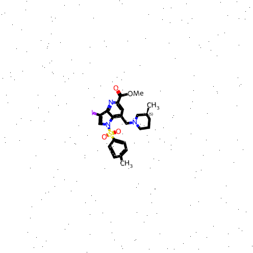 COC(=O)c1cc(CN2CCC[C@H](C)C2)c2c(n1)c(I)cn2S(=O)(=O)c1ccc(C)cc1